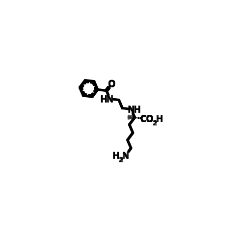 NCCCC[C@H](NCCNC(=O)c1ccccc1)C(=O)O